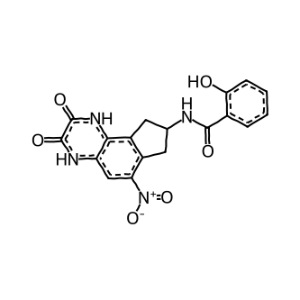 O=C(NC1Cc2c([N+](=O)[O-])cc3[nH]c(=O)c(=O)[nH]c3c2C1)c1ccccc1O